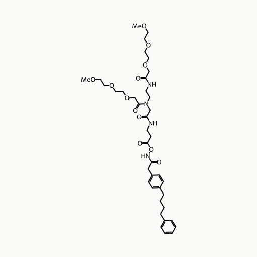 COCCOCCOCC(=O)NCCN(CC(=O)NCCC(=O)ONC(=O)Cc1ccc(CCCCc2ccccc2)cc1)C(=O)COCCOCCOC